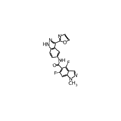 Cn1ncc2c(F)c(C(=O)Nc3ccc4[nH]nc(-c5ncco5)c4c3)c(F)cc21